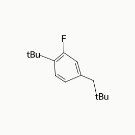 CC(C)(C)Cc1ccc(C(C)(C)C)c(F)c1